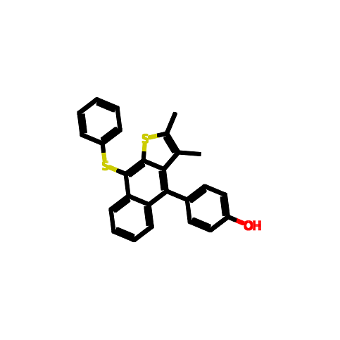 Cc1sc2c(Sc3ccccc3)c3ccccc3c(-c3ccc(O)cc3)c2c1C